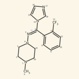 CN1CCN(/N=C(\c2ccccc2C(F)(F)F)n2ccnc2)CC1